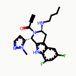 C#CC(=O)N1[C@@H](c2ccnn2C)c2[nH]c3c(F)cc(F)cc3c2C[C@@H]1NCCCC